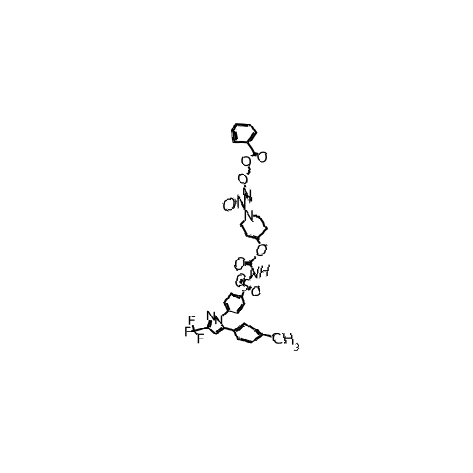 Cc1ccc(-c2cc(C(F)(F)F)nn2-c2ccc(S(=O)(=O)NC(=O)OC3CCN(/[N+]([O-])=N/OCOC(=O)c4ccccc4)CC3)cc2)cc1